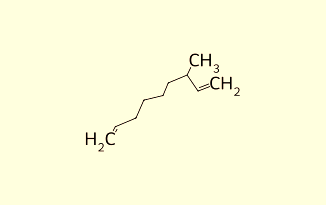 C=CCCCCC(C)C=C